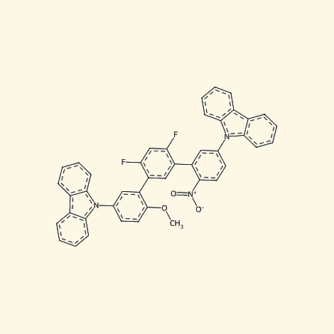 COc1ccc(-n2c3ccccc3c3ccccc32)cc1-c1cc(-c2cc(-n3c4ccccc4c4ccccc43)ccc2[N+](=O)[O-])c(F)cc1F